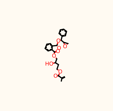 C=C(C)C(=O)OCCC(O)COC(=O)c1ccccc1C(=O)OC(c1ccccc1)C1CO1